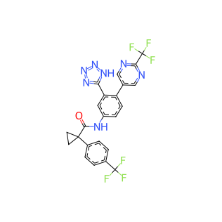 O=C(Nc1ccc(-c2cnc(C(F)(F)F)nc2)c(-c2nnn[nH]2)c1)C1(c2ccc(C(F)(F)F)cc2)CC1